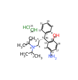 CC(C)N(CC[C@H](c1ccccc1)c1cc(N)ccc1O)C(C)C.Cl.Cl